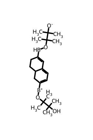 CC(C)([O-])C(C)(C)OBC1=CC2=CC=C([B+]OC(C)(C)C(C)(C)O)CC2CC1